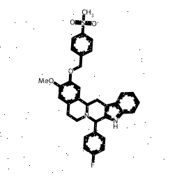 COc1cc2c(cc1OCc1ccc(S(C)(=O)=O)cc1)C1Cc3c([nH]c4ccccc34)C(c3ccc(F)cc3)N1CC2